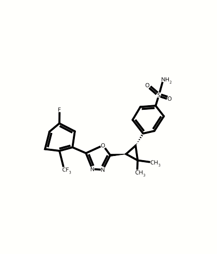 CC1(C)[C@@H](c2ccc(S(N)(=O)=O)cc2)[C@@H]1c1nnc(-c2cc(F)ccc2C(F)(F)F)o1